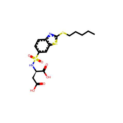 CCCCCSc1nc2ccc(S(=O)(=O)N[C@H](CC(=O)O)C(=O)O)cc2s1